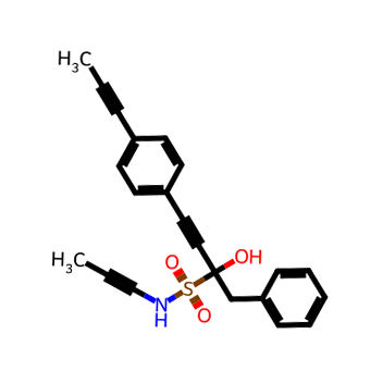 CC#CNS(=O)(=O)C(O)(C#Cc1ccc(C#CC)cc1)Cc1ccccc1